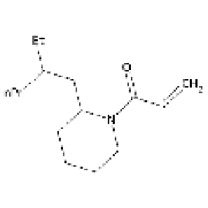 C=CC(=O)N1CCCCC1CC(CC)CCC